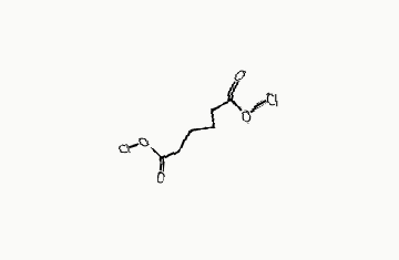 O=C(CCCCC(=O)OCl)OCl